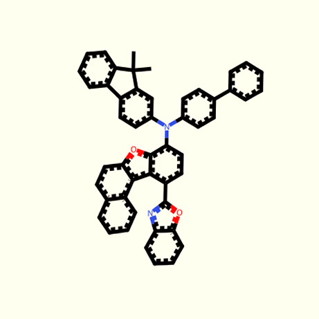 CC1(C)c2ccccc2-c2ccc(N(c3ccc(-c4ccccc4)cc3)c3ccc(-c4nc5ccccc5o4)c4c3oc3ccc5ccccc5c34)cc21